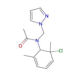 CC(=O)N(Cn1cccn1)C1C(C)=CC=CC1(C)Cl